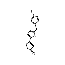 O=C1C=C(c2ccc(Cc3ccc(F)cc3)s2)CC1